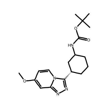 COc1ccn2c([C@H]3CCCC(NC(=O)OC(C)(C)C)C3)nnc2c1